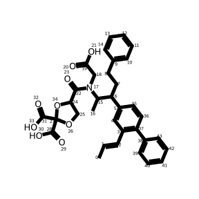 CC=Cc1cc(C(CCc2ccccc2)C(C)N(CC(=O)O)C(=O)C2COC(C(=O)O)(C(=O)O)O2)ccc1-c1ccccc1